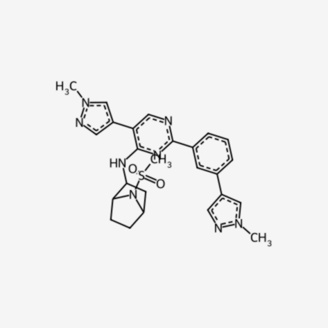 Cn1cc(-c2cccc(-c3ncc(-c4cnn(C)c4)c(NC4CC5CCC4N5S(C)(=O)=O)n3)c2)cn1